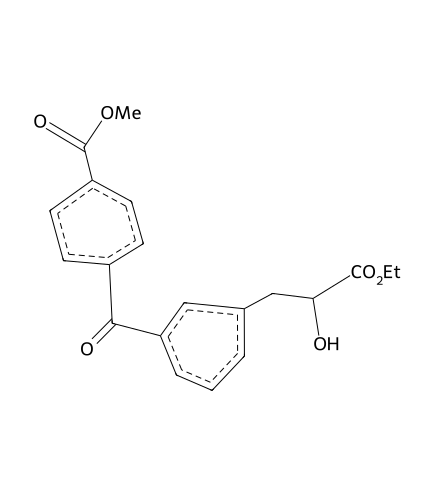 CCOC(=O)C(O)Cc1cccc(C(=O)c2ccc(C(=O)OC)cc2)c1